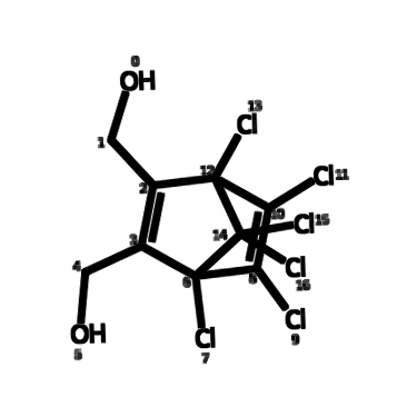 OCC1=C(CO)C2(Cl)C(Cl)=C(Cl)C1(Cl)C2(Cl)Cl